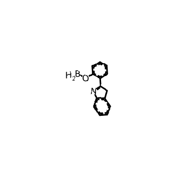 BOc1ccccc1C1=Nc2ccccc2C1